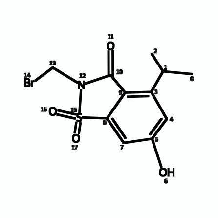 CC(C)c1cc(O)cc2c1C(=O)N(CBr)S2(=O)=O